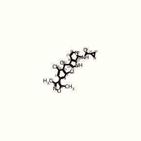 Cc1noc(C)c1-c1cc(Cl)c(C(=O)c2c[nH]c3c(NC(=O)C4CC4)nccc23)c(Cl)c1